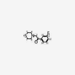 O=C(CN1CCSCC1)c1cccc(F)c1